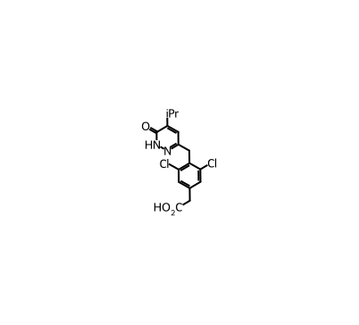 CC(C)c1cc(Cc2c(Cl)cc(CC(=O)O)cc2Cl)n[nH]c1=O